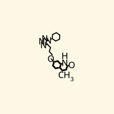 Cc1cc(=O)[nH]c2cc(OCCCc3nnnn3C3CCCCC3)ccc12